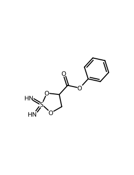 N=S1(=N)OCC(C(=O)Oc2ccccc2)O1